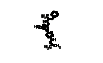 CC(C)=NNc1ccc(OCC(O)CNC(C)Cc2ccccc2)nn1.Cl.Cl